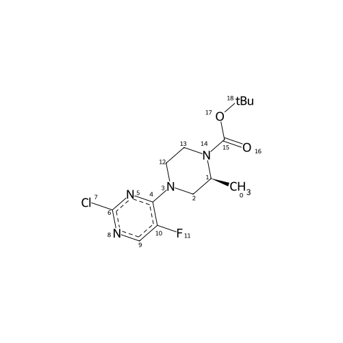 C[C@H]1CN(c2nc(Cl)ncc2F)CCN1C(=O)OC(C)(C)C